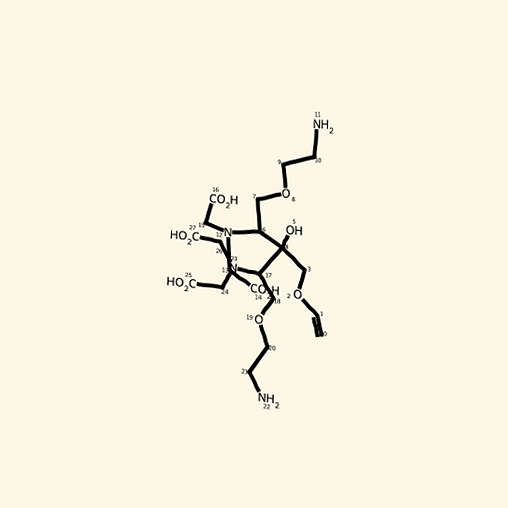 C=COCC(O)(C(COCCN)N(CC(=O)O)CC(=O)O)C(COCCN)N(CC(=O)O)CC(=O)O